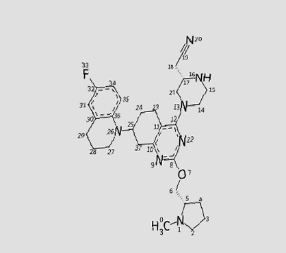 CN1CCC[C@H]1COc1nc2c(c(N3CCN[C@@H](CC#N)C3)n1)CCC(N1CCCc3cc(F)ccc31)C2